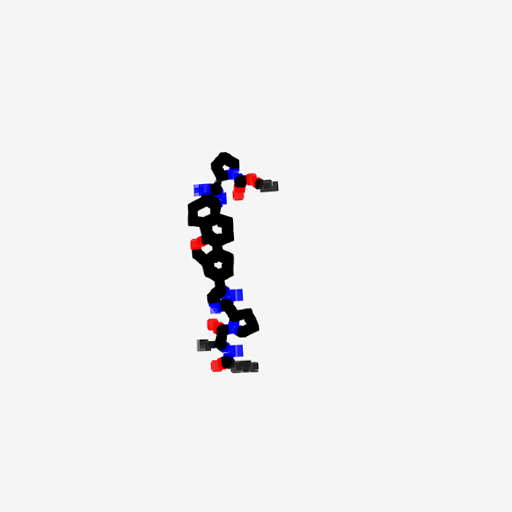 COC(=O)N[C@H](C(=O)N1CCCC1c1ncc(-c2ccc3c(c2)COc2c-3ccc3c2CCc2[nH]c([C@@H]4CCCN4C(=O)OC(C)(C)C)nc2-3)[nH]1)C(C)C